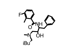 CC[C@H](C)CN(C)CC(O)C(Cc1ccccc1)NC(=O)c1cccc(F)c1C